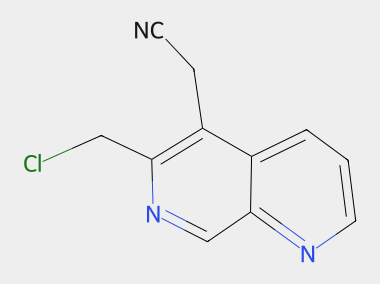 N#CCc1c(CCl)ncc2ncccc12